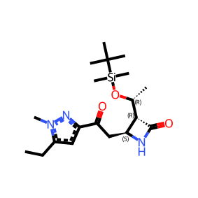 CCc1cc(C(=O)C[C@@H]2NC(=O)[C@H]2[C@@H](C)O[Si](C)(C)C(C)(C)C)nn1C